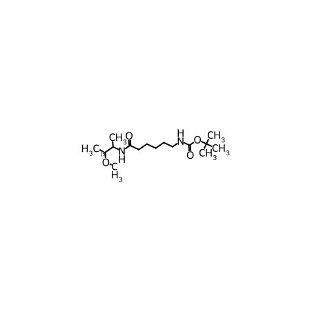 CO[C@@H](C)C(C)NC(=O)CCCCCNC(=O)OC(C)(C)C